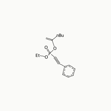 C=C(CCCC)OP(=O)(C#Cc1ccccc1)OCC